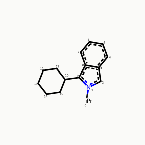 CC(C)n1cc2ccccc2c1C1CCCCC1